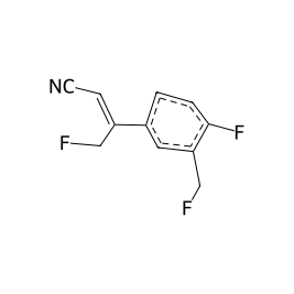 N#CC=C(CF)c1ccc(F)c(CF)c1